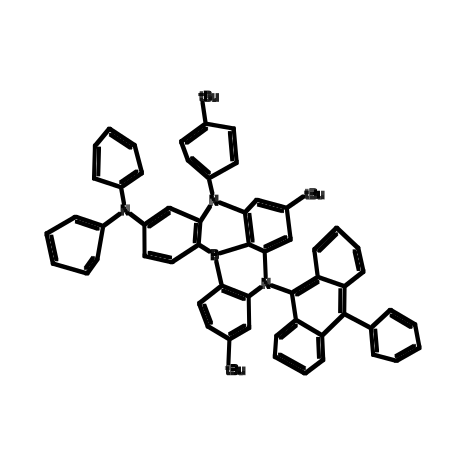 CC(C)(C)c1ccc(N2c3cc(N(c4ccccc4)c4ccccc4)ccc3B3c4ccc(C(C)(C)C)cc4N(c4c5ccccc5c(-c5ccccc5)c5ccccc45)c4cc(C(C)(C)C)cc2c43)cc1